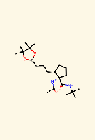 CC(=O)N[C@@]1(C(=O)NC(C)(C)C)CCC[C@@H]1CCCB1OC(C)(C)C(C)(C)O1